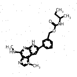 CCC(C)NC(=O)OCc1cccc(-c2cc3c(nc(NC)c4ncn(C)c43)[nH]2)c1